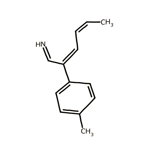 C/C=C\C=C(/C=N)c1ccc(C)cc1